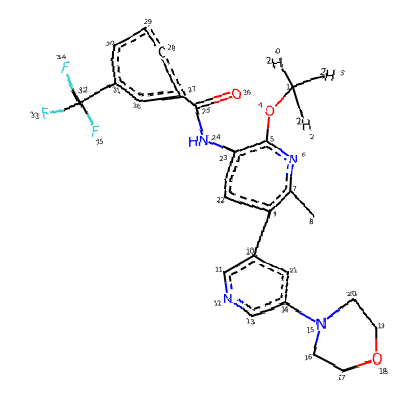 [2H]C([2H])([2H])Oc1nc(C)c(-c2cncc(N3CCOCC3)c2)cc1NC(=O)c1cccc(C(F)(F)F)c1